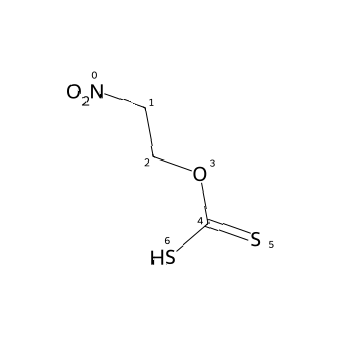 O=[N+]([O-])CCOC(=S)S